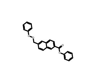 O=C(Oc1ccccc1)c1ccc2cc(COOc3ccccc3)ccc2c1